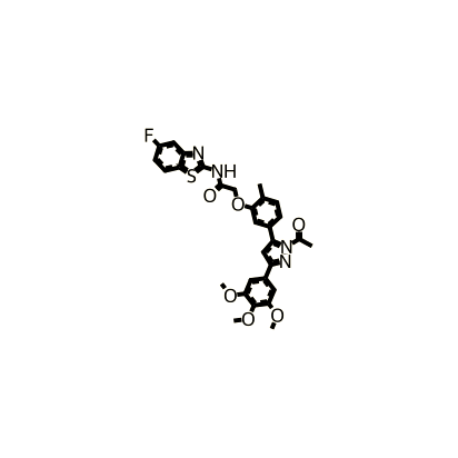 COc1cc(-c2cc(-c3ccc(C)c(OCC(=O)Nc4nc5cc(F)ccc5s4)c3)n(C(C)=O)n2)cc(OC)c1OC